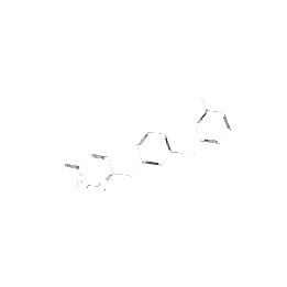 Cc1cccc(Oc2cccc(Cc3ccc(=O)[nH]n3)c2)c1